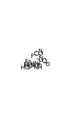 COc1ccc2c(c1)c(C(=O)NC(=N)N)c(C)n2-c1ccnc2ccc(F)cc12.O=C(O)C(F)(F)F